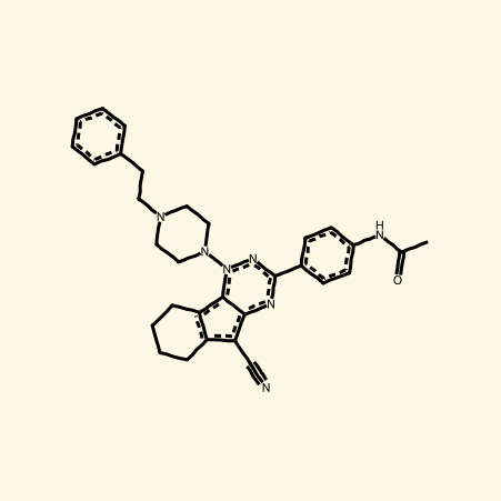 CC(=O)Nc1ccc(-c2nc3c(C#N)c4c(c-3n(N3CCN(CCc5ccccc5)CC3)n2)CCCC4)cc1